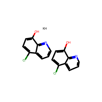 Oc1ccc(Cl)c2cccnc12.Oc1ccc(Cl)c2cccnc12.[KH]